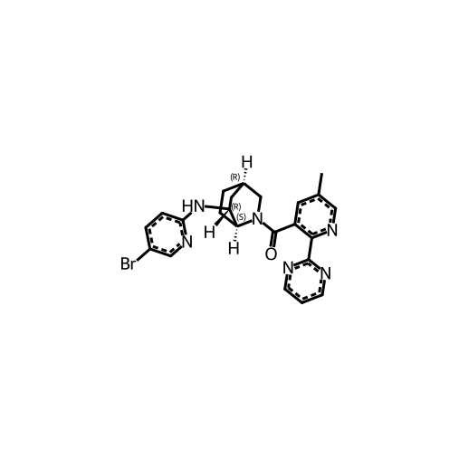 Cc1cnc(-c2ncccn2)c(C(=O)N2C[C@@H]3CC[C@H]2[C@H](Nc2ccc(Br)cn2)C3)c1